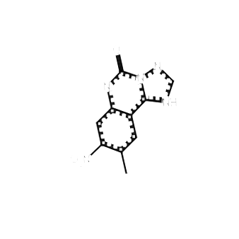 Cc1cc2c(cc1[N+](=O)[O-])nc(=O)n1nc[nH]c21